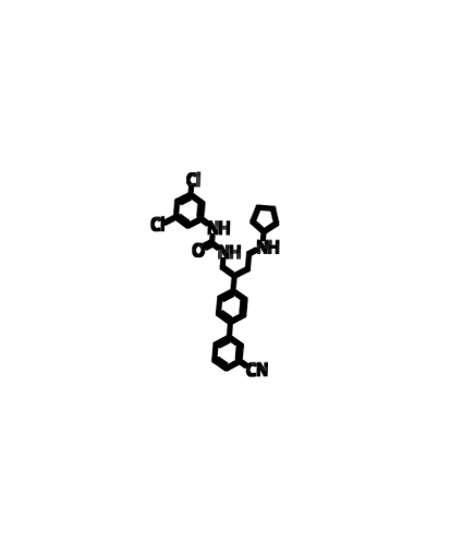 N#Cc1cccc(-c2ccc(C(CCNC3CCCC3)CNC(=O)Nc3cc(Cl)cc(Cl)c3)cc2)c1